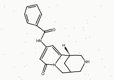 O=C(Nc1cc2n(c(=O)c1)CC1CNC[C@@H]2C1)c1ccccc1